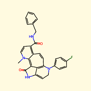 CN1C=CC(C(=O)NCc2ccccc2)=c2ccc3c4c([nH]c(=O)c-4c21)=CCN3c1ccc(F)cc1